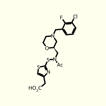 CC(=O)N(C[C@@H]1CN(Cc2cccc(Cl)c2F)CCO1)Sc1nc(CC(=O)O)cs1